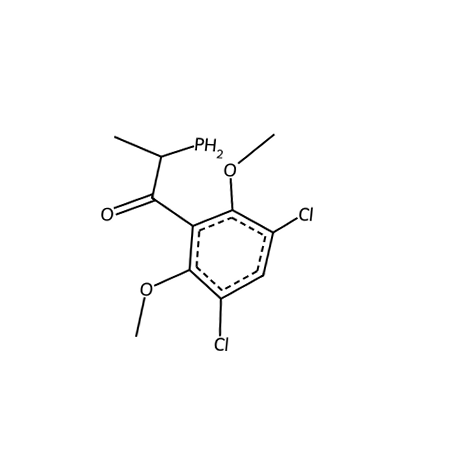 COc1c(Cl)cc(Cl)c(OC)c1C(=O)C(C)P